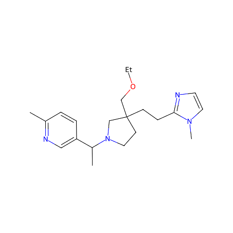 CCOCC1(CCc2nccn2C)CCN(C(C)c2ccc(C)nc2)C1